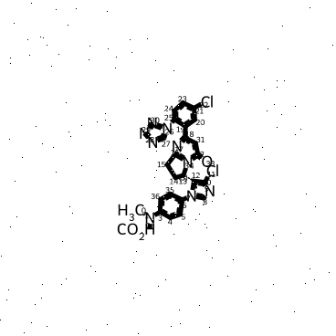 CN(C(=O)O)c1ccc(-n2cnc(Cl)c2[C@@H]2CCc3nc(-c4cc(Cl)ccc4-n4cnnn4)cc(=O)n32)cc1